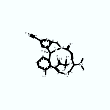 CN(C)C1/C=C/C(=O)N2Cc3sc(C#N)cc3[C@@H](C2)c2cccc(F)c2/C(C(=N)C(F)(F)F)=C/NC1